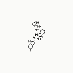 Cc1ccc2[nH]c(C(=O)Nc3nc4cccc(C(=O)Nc5ncc[nH]5)c4[nH]3)cc2c1